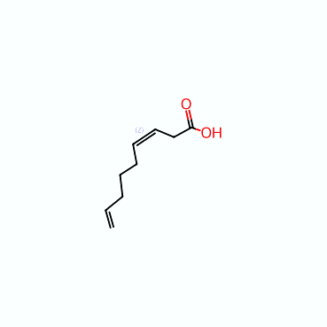 C=CCCC/C=C\CC(=O)O